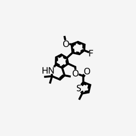 COc1ccc(F)cc1-c1ccc2c(c1COC(=O)c1ccc(C)s1)C(C)=CC(C)(C)N2